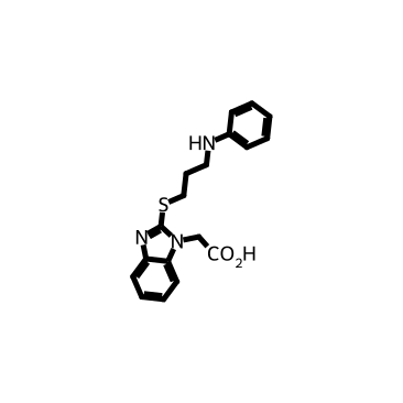 O=C(O)Cn1c(SCCCNc2ccccc2)nc2ccccc21